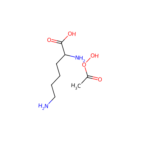 CC(=O)OO.NCCCCC(N)C(=O)O